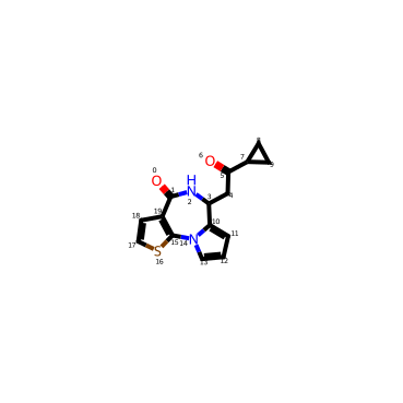 O=C1NC(CC(=O)C2CC2)c2cccn2-c2sccc21